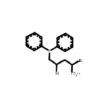 CCC(CC(CC)C(=O)O)CP(c1ccccc1)c1ccccc1